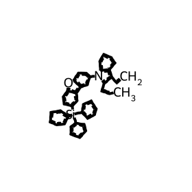 C=Cc1c(/C=C\C)n(-c2ccc3oc4ccc([Si](c5ccccc5)(c5ccccc5)c5ccccc5)cc4c3c2)c2ccccc12